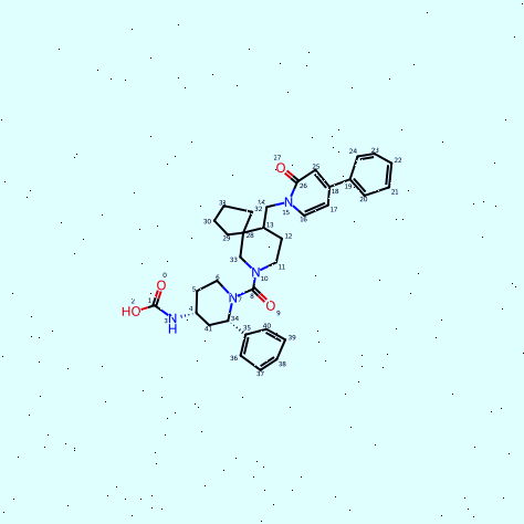 O=C(O)N[C@@H]1CCN(C(=O)N2CCC(Cn3ccc(-c4ccccc4)cc3=O)C3(CCCC3)C2)[C@H](c2ccccc2)C1